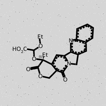 CCOC(O[C@]1(CC)C(=O)OCc2c1cc1n(c2=O)Cc2cc3ccccc3nc2-1)C(=O)O